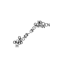 CC1(C)C(NC(=O)c2ccc(N3CCC(CCN4CCN(c5ccc6c(c5)C(=O)N(C5CCC(=O)NC5=O)C6=O)CC4)CC3)cc2)C2(C)c3ccnc4c(C#N)ccc(c34)O[C@@H]12